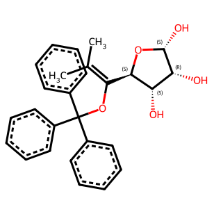 CC(C)=C(OC(c1ccccc1)(c1ccccc1)c1ccccc1)[C@H]1O[C@H](O)[C@H](O)[C@@H]1O